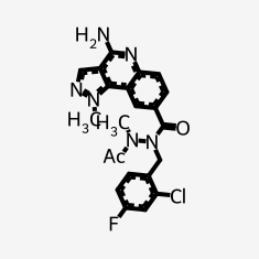 CC(=O)N(C)N(Cc1ccc(F)cc1Cl)C(=O)c1ccc2nc(N)c3cnn(C)c3c2c1